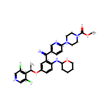 C[C@@H](Oc1ccc(NC2CCCCO2)c(C(=N)c2ccc(N3CCN(C(=O)OC(C)(C)C)CC3)nc2)c1)c1c(Cl)cncc1Cl